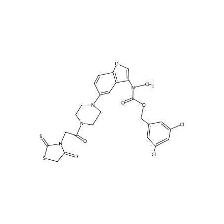 CN(C(=O)OCc1cc(Cl)cc(Cl)c1)c1coc2ccc(N3CCN(C(=O)CN4C(=O)CSC4=S)CC3)cc12